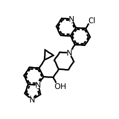 OC(c1c(C2CC2)ccc2cncn12)C1CCN(c2ccc(Cl)c3ncccc23)CC1